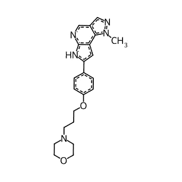 Cn1ncc2cnc3[nH]c(-c4ccc(OCCCN5CCOCC5)cc4)cc3c21